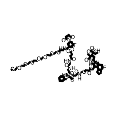 CC[C@@]1(O)C(=O)OCc2c1cc1n(c2=O)Cc2c-1nc1cc(F)c3c(c1c2CNC(=O)COCNC(=O)CNC(=O)[C@H](Cc1ccccc1)NC(=O)CNC(=O)CNC(=O)CCCOc1c(F)cc(N2C(=O)C=CC2=O)cc1C(=O)NCCOCCOCCOCCOCCOCCOCCOCCOC)CCC3